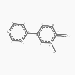 Cn1cc(-c2ccncn2)ccc1=O